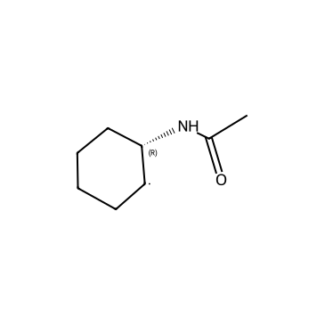 CC(=O)N[C@@H]1[CH]CCCC1